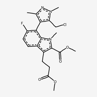 COC(=O)CCc1c(C(=O)OC)n(C)c2c(-c3c(C)nn(C)c3CCl)c(F)ccc12